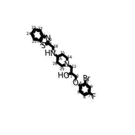 OC(COc1ccc(F)cc1Br)CN1CCC(NCc2nc3ccccc3s2)CC1